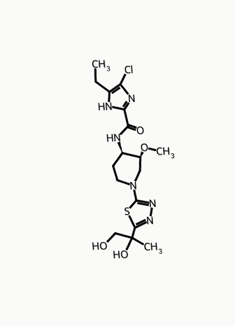 CCc1[nH]c(C(=O)N[C@@H]2CCN(c3nnc(C(C)(O)CO)s3)C[C@@H]2OC)nc1Cl